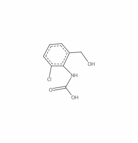 O=C(O)Nc1c(Cl)cccc1CO